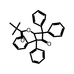 CC(C)(C)C(=O)OC1C(c2ccccc2)(c2ccccc2)C(=O)C1(c1ccccc1)c1ccccc1